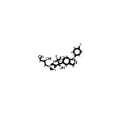 OCC(O)Cn1cnc(C(O)(c2ccc3c(cnn3-c3ccc(F)cc3)c2)C(F)(F)F)c1